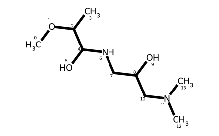 COC(C)C(O)NCC(O)CN(C)C